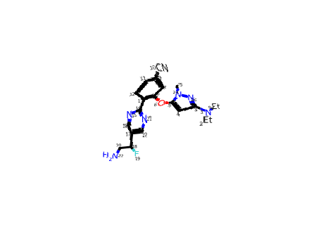 CCN(CC)c1cc(Oc2cc(C#N)ccc2-c2ncc(C(F)CN)cn2)n(C)n1